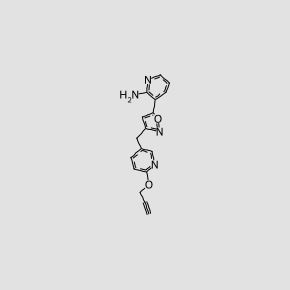 C#CCOc1ccc(Cc2cc(-c3cccnc3N)on2)cn1